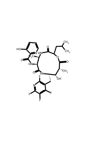 CC(C)CC1OC(=O)[C@H](C)[C@H](O)[C@H](Cc2c(F)nc(F)c(F)c2F)NC(=O)[C@@H](NC(=O)c2ncccc2O)[C@@H](C)NC1=O